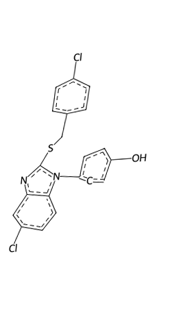 Oc1ccc(-n2c(SCc3ccc(Cl)cc3)nc3cc(Cl)ccc32)cc1